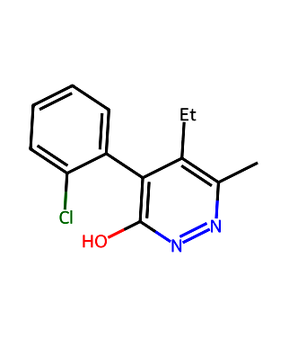 CCc1c(C)nnc(O)c1-c1ccccc1Cl